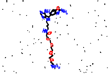 NCCOCCOCCOCCOCCC(=O)NCCCCn1nc(-c2ccc3oc(N)nc3c2)c2c(N)ncnc21